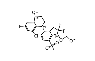 COCO[C@H]1c2c(S(C)(=O)=O)ccc([C@H]3CC[C@@H](O)c4cc(F)cc(Cl)c43)c2CC1(F)F